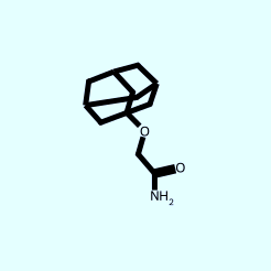 NC(=O)COC12CC3CC(CC(C3)C1)C2